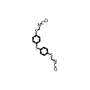 O=C=NCSc1ccc(Sc2ccc(SCN=C=O)cc2)cc1